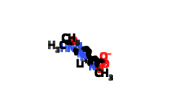 COc1ncc(-c2ccc3nc(NC(=O)C(C)C)cn3n2)cc1C(=O)[O-].[Li+]